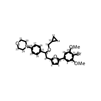 COc1cc(-c2ccc([CH]C(OCC3CC3)c3ccc(N4CCOCC4)cc3)o2)cc(OC)c1Br